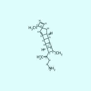 C=C(CCN)C1C(C)C2C3C(C4C5=CC6(C=CC6C)C[C@H]5C43)[C@H]12